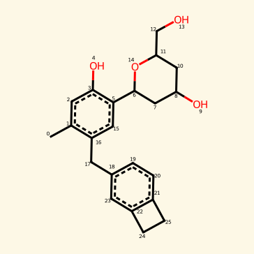 Cc1cc(O)c(C2CC(O)CC(CO)O2)cc1Cc1ccc2c(c1)CC2